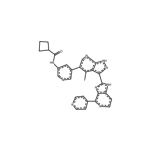 O=C(Nc1cncc(-c2cnc3[nH]nc(-c4nc5c(-c6ccncc6)nccc5[nH]4)c3c2F)c1)C1CCC1